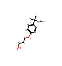 CCCCCC(C)(C)c1ccc(OCCCO)cc1